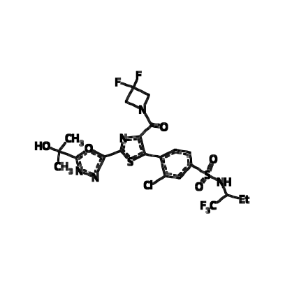 CCC(NS(=O)(=O)c1ccc(-c2sc(-c3nnc(C(C)(C)O)o3)nc2C(=O)N2CC(F)(F)C2)c(Cl)c1)C(F)(F)F